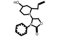 C=CCC1CC(O)CCN1C1COC(=O)N1c1ccccc1